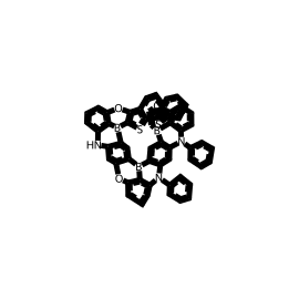 c1ccc(N2c3cc4c(cc3B3c5cc6c(cc5Oc5cccc2c53)Nc2cccc3c2B6c2sc5ccccc5c2O3)B2c3sc5ccccc5c3Oc3cccc(c32)N4c2ccccc2)cc1